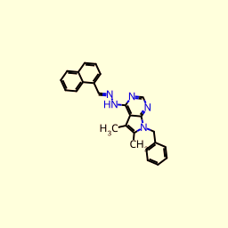 Cc1c(C)n(Cc2ccccc2)c2ncnc(N/N=C/c3cccc4ccccc34)c12